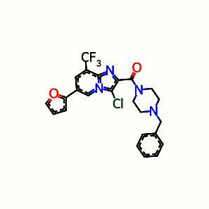 O=C(c1nc2c(C(F)(F)F)cc(-c3ccco3)cn2c1Cl)N1CCN(Cc2ccccc2)CC1